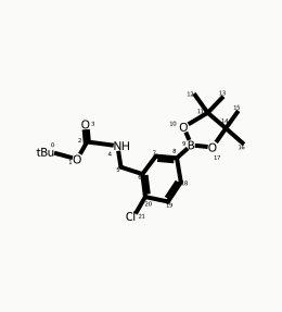 CC(C)(C)OC(=O)NCc1cc(B2OC(C)(C)C(C)(C)O2)ccc1Cl